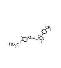 Cc1cc(OCCCc2oc(-c3ccc(C(F)(F)F)cc3)nc2C)ccc1CCC(=O)O